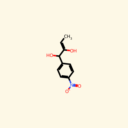 CC=C(O)C(O)c1ccc([N+](=O)[O-])cc1